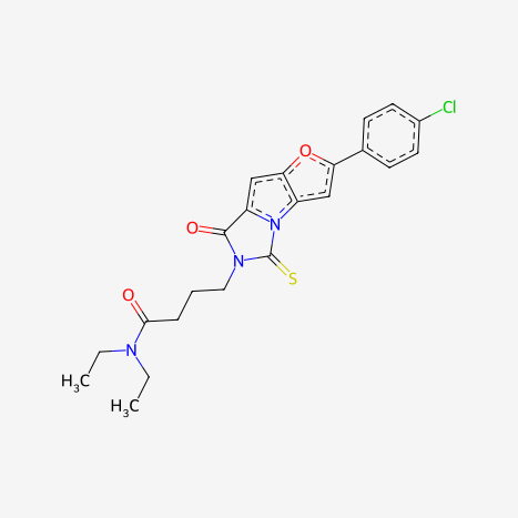 CCN(CC)C(=O)CCCN1C(=O)c2cc3oc(-c4ccc(Cl)cc4)cc3n2C1=S